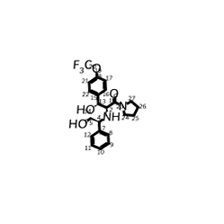 O=C([C@@H](N[C@H](CO)c1ccccc1)[C@H](O)c1ccc(OC(F)(F)F)cc1)N1CCCC1